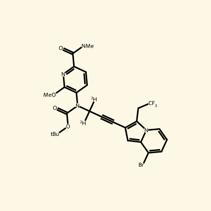 [2H]C([2H])(C#Cc1cc2c(Br)cccn2c1CC(F)(F)F)N(C(=O)OC(C)(C)C)c1ccc(C(=O)NC)nc1OC